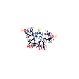 CC1(C)CC(N(c2nc(F)nc(N(C3CC(C)(C)N(O)C(C)(C)C3)C3CC(C)(C)N(O)C(C)(C)C3)n2)C2CC(C)(C)N(O)C(C)(C)C2)CC(C)(C)N1O